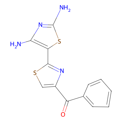 Nc1nc(N)c(-c2nc(C(=O)c3ccccc3)cs2)s1